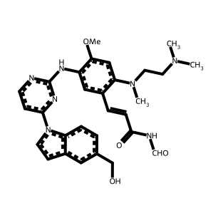 COc1cc(N(C)CCN(C)C)c(C=CC(=O)NC=O)cc1Nc1nccc(-n2ccc3cc(CO)ccc32)n1